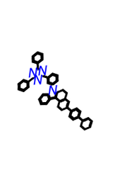 C1=CCCC(c2ccc(C3=CC4=C(CC3)c3c(n(-c5cccc(-c6nc(-c7ccccc7)nc(-c7ccccc7)n6)c5)c5ccccc35)CC4)cc2)=C1